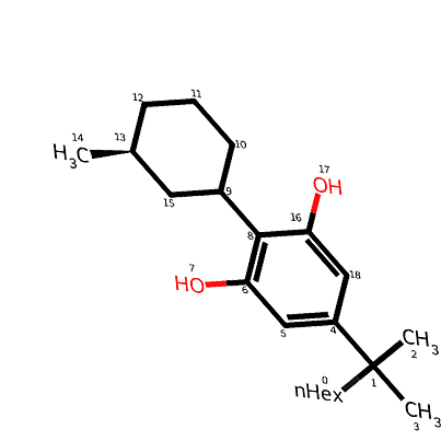 CCCCCCC(C)(C)c1cc(O)c(C2CCC[C@H](C)C2)c(O)c1